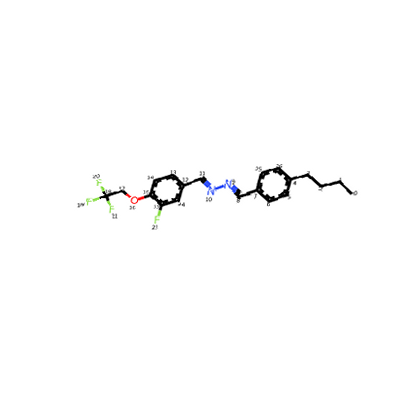 CCCCc1ccc(C=NN=Cc2ccc(OCC(F)(F)F)c(F)c2)cc1